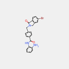 Nc1ccccc1NC(=O)c1ccc(CN2Cc3cc(Br)ccc3C2=O)cc1